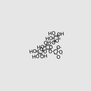 COc1cc(O[C@H]2O[C@@H](CO[C@@H]3O[C@@H](C)[C@H](O)[C@@H](O)[C@H]3O)[C@H](O)[C@@H](O)[C@@H]2O[C@@H]2OC[C@@H](O)[C@H](O)[C@H]2O)cc(OC)c1OC